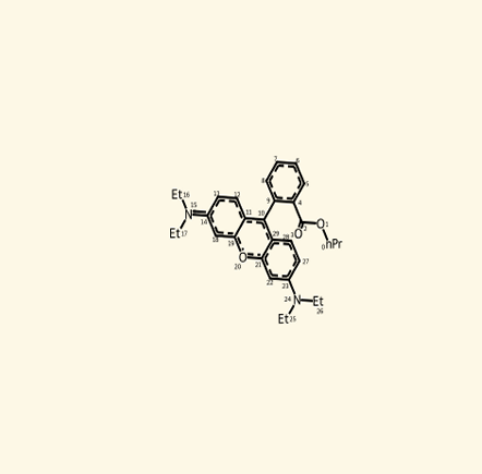 CCCOC(=O)c1ccccc1-c1c2ccc(=[N+](CC)CC)cc-2oc2cc(N(CC)CC)ccc12